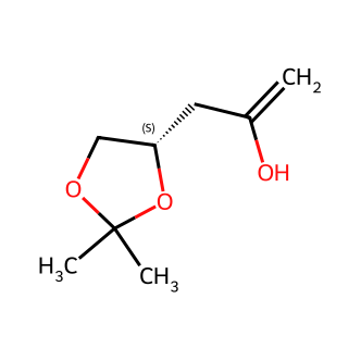 C=C(O)C[C@H]1COC(C)(C)O1